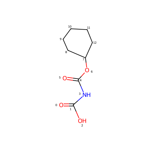 O=C(O)NC(=O)OC1CCCCC1